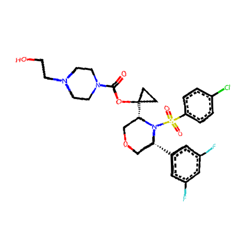 O=C(OC1([C@H]2COC[C@@H](c3cc(F)cc(F)c3)N2S(=O)(=O)c2ccc(Cl)cc2)CC1)N1CCN(CCO)CC1